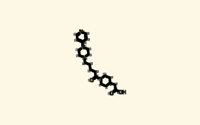 O=C(O)CC1CCN(C(=O)CCCCN2CCN(c3ccncc3)CC2)CC1